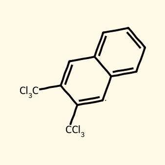 ClC(Cl)(Cl)c1[c]c2ccccc2cc1C(Cl)(Cl)Cl